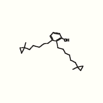 CC1(CCCCCCc2c(O)cccc2CCCCCC2(C)CC2)CC1